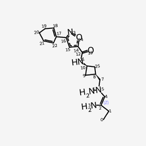 CC/C(N)=C/N(N)C[C@H]1C[C@@H](NC(=O)c2cc(C3=CCCC=C3)no2)C1